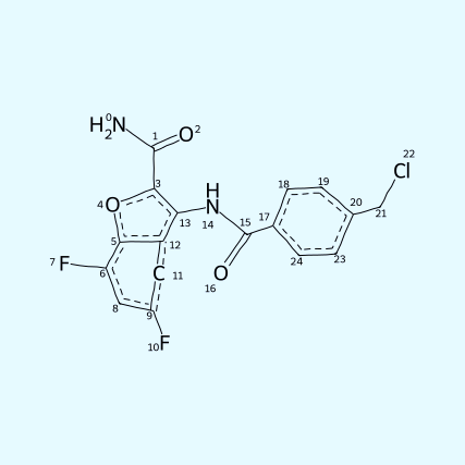 NC(=O)c1oc2c(F)cc(F)cc2c1NC(=O)c1ccc(CCl)cc1